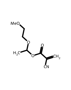 C=C(C#N)C(=O)OC(C)OCCOC